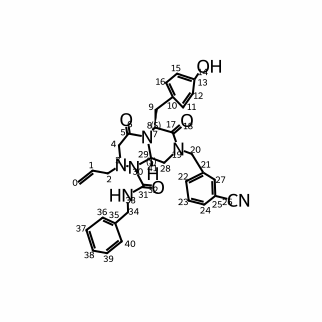 C=CCN1CC(=O)N2[C@@H](Cc3ccc(O)cc3)C(=O)N(Cc3cccc(C#N)c3)C[C@@H]2N1C(=O)NCc1ccccc1